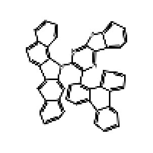 c1ccc2cc3c(cc2c1)c1ccc2ccccc2c1n3-c1nc2sc3ccccc3c2nc1-c1cccc2c3ccccc3c3ccccc3c12